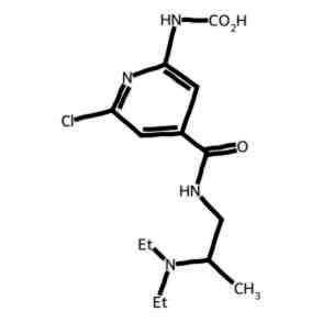 CCN(CC)C(C)CNC(=O)c1cc(Cl)nc(NC(=O)O)c1